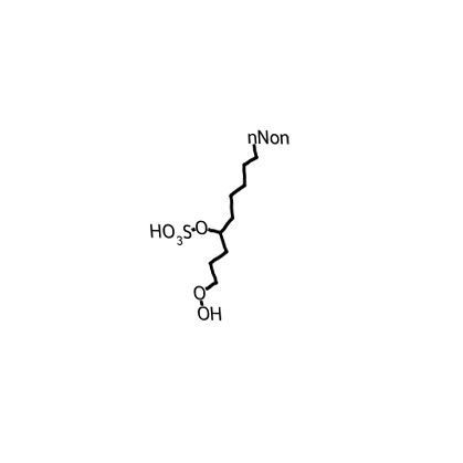 CCCCCCCCCCCCCCC(CCCOO)OS(=O)(=O)O